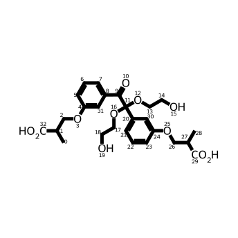 CC(COc1cccc(C(=O)C(OCCO)(OCCO)c2cccc(OCC(C)C(=O)O)c2)c1)C(=O)O